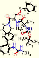 CNC(=O)Nc1ccccc1-c1ccc2c(c1)CCN(C(=O)C(COCc1ccccc1)NC(=O)C(C)(C)NC(=O)OC(C)(C)C)C2